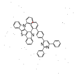 c1ccc(-c2cc(-c3ccc(-c4ccccc4-c4nc5ccccc5c5sc6c7ccccc7n(-c7ccccc7)c6c45)cc3)nc(-c3ccccc3)n2)cc1